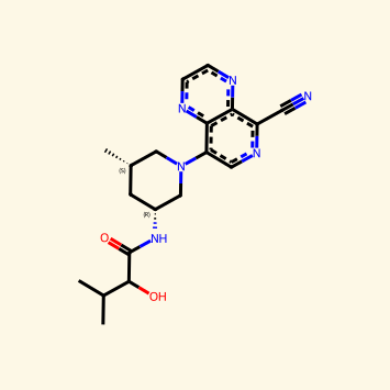 CC(C)C(O)C(=O)N[C@@H]1C[C@H](C)CN(c2cnc(C#N)c3nccnc23)C1